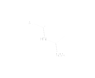 CNC(C)NCC(C)=O